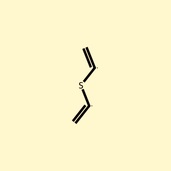 C=[C]S[C]=C